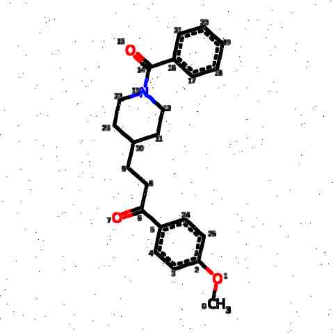 COc1ccc(C(=O)CCC2CCN(C(=O)c3ccccc3)CC2)cc1